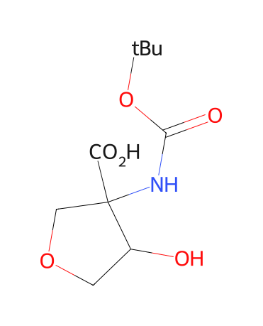 CC(C)(C)OC(=O)NC1(C(=O)O)COCC1O